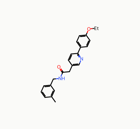 CCOc1ccc(-c2ccc(CC(=O)NCc3cccc(C)c3)cn2)cc1